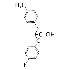 Cc1ccc(CCOc2ccc(F)cc2)cc1.Cl.Cl